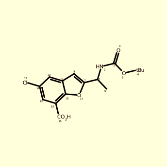 CC(NC(=O)OC(C)(C)C)c1cc2cc(Cl)cc(C(=O)O)c2o1